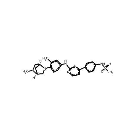 Cc1cc(Nc2nccc(-c3ccc(NS(C)(=O)=O)cc3)n2)ccc1N1C[C@@H]2C[C@H]1CN2C